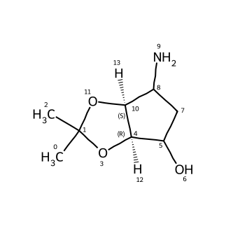 CC1(C)O[C@@H]2C(O)CC(N)[C@@H]2O1